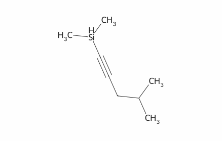 CC(C)CC#C[SiH](C)C